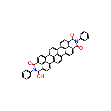 O=C1c2ccc3c4ccc5c6ccc7c8c(ccc(c9ccc(c%10ccc(c2c3%10)C(=O)N1c1ccccc1)c4c59)c86)C(O)N(c1ccccc1)C7=O